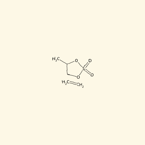 C=C.CC1COS(=O)(=O)O1